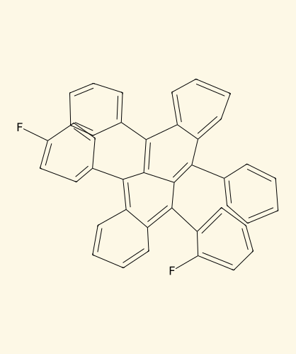 Fc1ccc(-c2c3ccccc3c(-c3ccccc3F)c3c(-c4ccccc4)c4ccccc4c(-c4ccccc4)c23)cc1